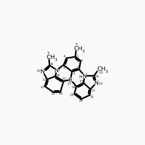 Cc1cc2c3c(c1)-n1c(C)nc4cccc(c41)B3c1cccc3nc(C)n-2c13